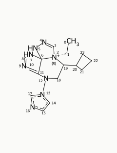 CC[N@@+]12C=NNC13NC=NC=C3N(n1ccnc1)CC2C1CCC1